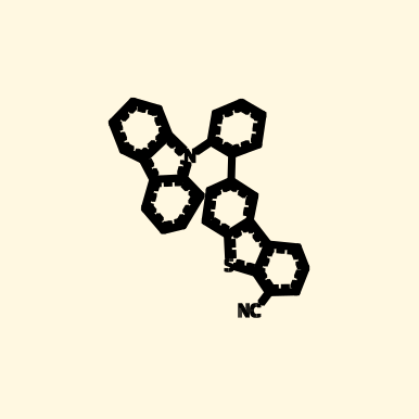 N#Cc1cccc2c1sc1ccc(-c3ccccc3-n3c4ccccc4c4ccccc43)cc12